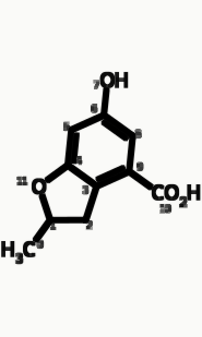 CC1Cc2c(cc(O)cc2C(=O)O)O1